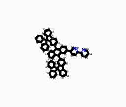 c1ccc(C2(c3ccccc3)c3ccccc3-c3ccc(-c4c5ccccc5c(-c5ccc6c(c5)C(c5ccccc5)(c5ccccc5)c5ccccc5-6)c5cc(-c6ccc(-c7ccccn7)nc6)ccc45)cc32)cc1